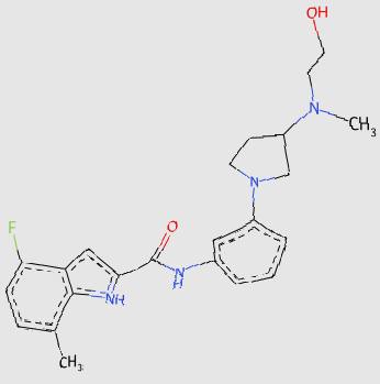 Cc1ccc(F)c2cc(C(=O)Nc3cccc(N4CCC(N(C)CCO)C4)c3)[nH]c12